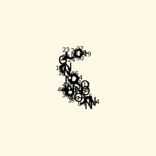 Cc1nn(C)cc1S(=O)(=O)NC(=O)c1ccc(-n2ccc(OC(C)C[C@H]3CC[C@H](C)C3)n2)nc1N1C[C@@H](C)CC1(C)C